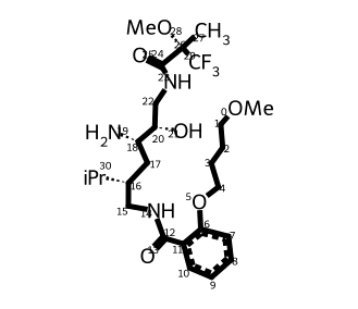 COCCCCOc1ccccc1C(=O)NC[C@@H](C[C@H](N)[C@@H](O)CNC(=O)[C@](C)(OC)C(F)(F)F)C(C)C